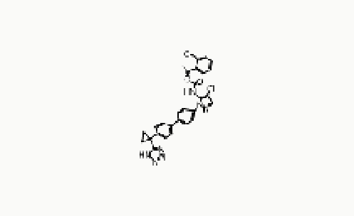 C[C@@H](OC(=O)Nc1c(Cl)cnn1-c1ccc(-c2ccc(C3(c4nnn[nH]4)CC3)cc2)cc1)c1ccccc1Cl